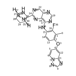 Cc1c(Oc2ccn3ncnc3c2)ccc(Nc2ncnc3cnc(N4C[C@@H]5CC[C@H]4CN5)nc23)c1F